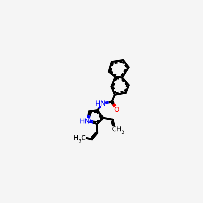 C=Cc1c(NC(=O)c2ccc3ccccc3c2)c[nH]c1/C=C\C